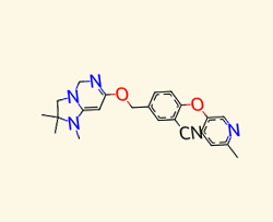 Cc1ccc(Oc2ccc(COC3=NCN4CC(C)(C)N(C)C4=C3)cc2C#N)cn1